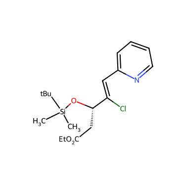 CCOC(=O)C[C@H](O[Si](C)(C)C(C)(C)C)/C(Cl)=C/c1ccccn1